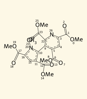 COC(=O)c1cc(C(=O)OC)c(-c2c(C(=O)OC)cc(C(=O)OC)n2C)c(C(=O)OC)n1